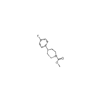 COC(=O)N1CCC(c2ccc(F)cc2)CC1